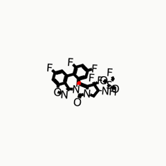 O=c1n(-c2noc3cc(F)cc(-c4c(F)cc(F)cc4F)c23)cc2n1C[C@@H](NS(=O)(=O)CF)C2(F)F